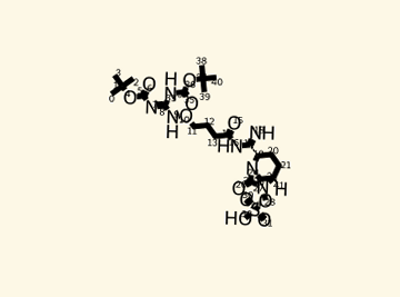 CC(C)(C)OC(=O)/N=C(/NOCCCC(=O)NC(=N)[C@@H]1CC[C@@H]2CN1C(=O)N2OS(=O)(=O)O)NC(=O)OC(C)(C)C